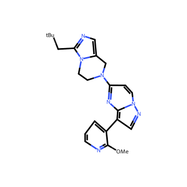 COc1ncccc1-c1cnn2ccc(N3CCn4c(cnc4CC(C)(C)C)C3)nc12